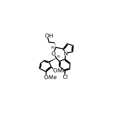 COc1cccc([C@H]2O[C@H](CCO)c3cccn3-c3ccc(Cl)cc32)c1OC